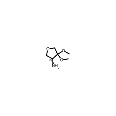 COC1(OC)COC[C@@H]1N